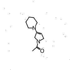 CC(=O)N1CC=C(N2CCCCC2)C1